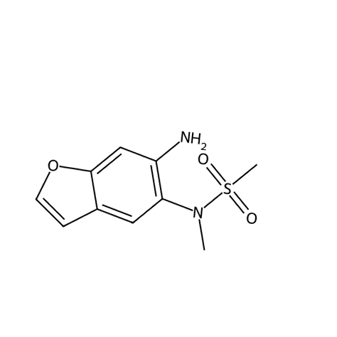 CN(c1cc2ccoc2cc1N)S(C)(=O)=O